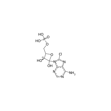 Nc1ncnc2c1nc(Cl)n2C1(O)OC(COP(=O)(O)O)[C@@H]1O